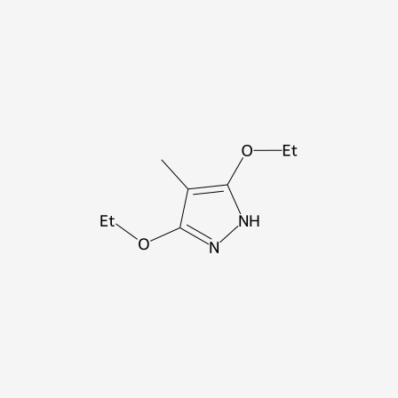 CCOc1n[nH]c(OCC)c1C